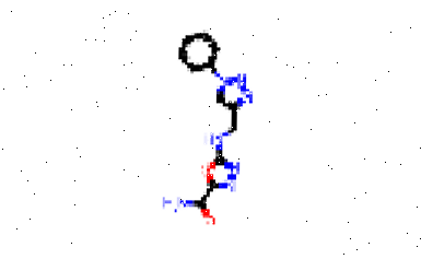 NC(=O)c1nnc(NCc2cn(-c3ccccc3)nn2)o1